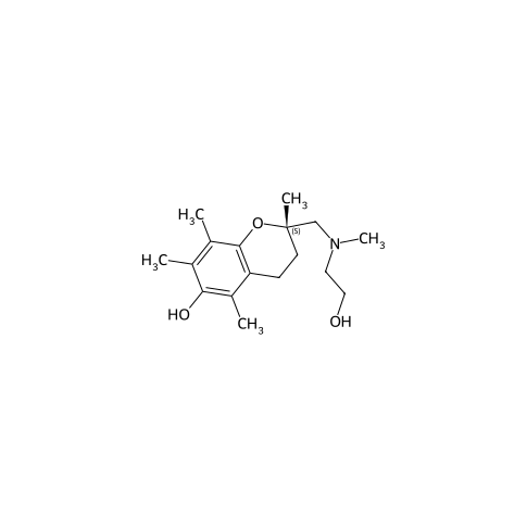 Cc1c(C)c2c(c(C)c1O)CC[C@@](C)(CN(C)CCO)O2